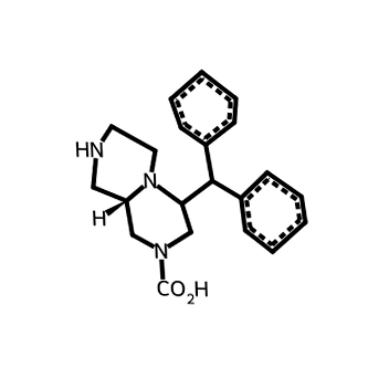 O=C(O)N1CC(C(c2ccccc2)c2ccccc2)N2CCNC[C@H]2C1